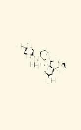 Cc1cnc(C(=O)N2CCC[C@@H](Nc3cnc(Cl)cn3)[C@@H]2C)c(-c2ncco2)c1